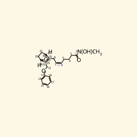 CN(O)C(=O)CCC/C=C\C[C@H]1[C@@H](COc2ccccc2)[C@H]2CC[C@@H]1O2